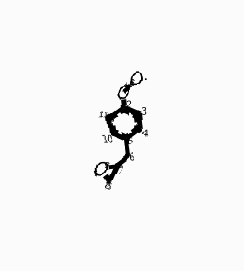 [O]Oc1ccc(CC2CO2)cc1